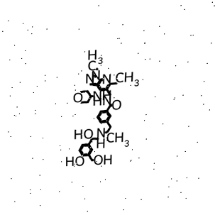 CCc1nc2c(cnn2CC)c(NC2CCOCC2)c1CNC(=O)c1cccc(CC(C)NCC(O)c2ccc(O)c(CO)c2)c1